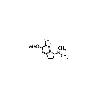 COc1cc2c(cc1N)[C@@H](N(C)C)CC2